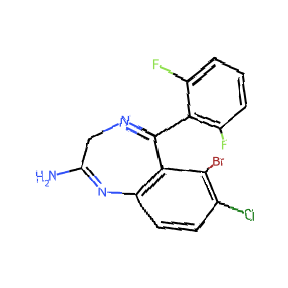 NC1=Nc2ccc(Cl)c(Br)c2C(c2c(F)cccc2F)=NC1